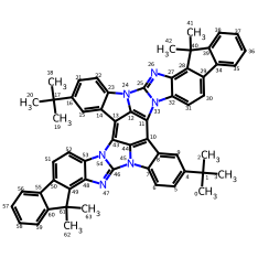 CC(C)(C)c1ccc2c(c1)c1c3c4c(c5cc(C(C)(C)C)ccc5n4c4nc5c6c(ccc5n34)-c3ccccc3C6(C)C)c3c1n2c1nc2c4c(ccc2n31)-c1ccccc1C4(C)C